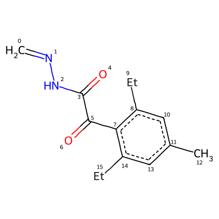 C=NNC(=O)C(=O)c1c(CC)cc(C)cc1CC